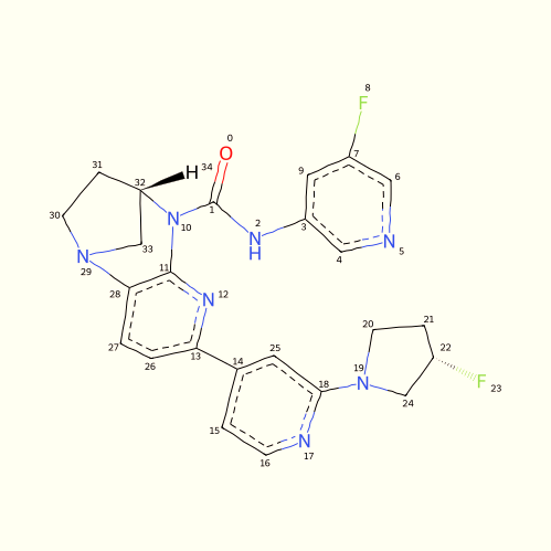 O=C(Nc1cncc(F)c1)N1c2nc(-c3ccnc(N4CC[C@H](F)C4)c3)ccc2N2CC[C@H]1C2